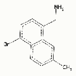 Cc1ccc2c(Br)ccc(CN)c2c1